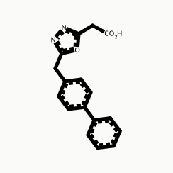 O=C(O)Cc1nnc(Cc2ccc(-c3ccccc3)cc2)o1